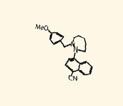 COc1ccc(CN2CCCCCN2c2ccc(C#N)c3ccccc23)cc1